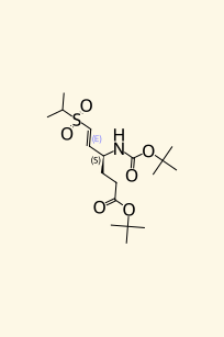 CC(C)S(=O)(=O)/C=C/[C@H](CCC(=O)OC(C)(C)C)NC(=O)OC(C)(C)C